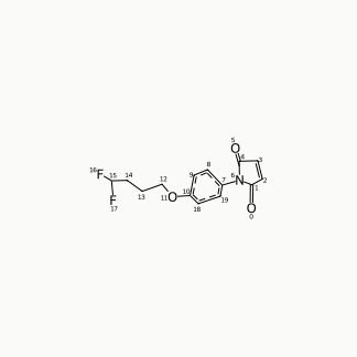 O=C1C=CC(=O)N1c1ccc(OCCCC(F)F)cc1